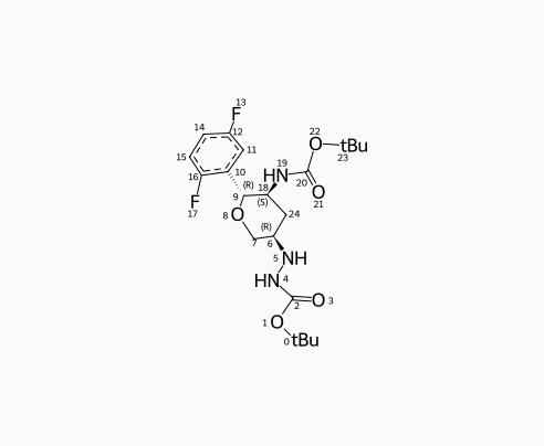 CC(C)(C)OC(=O)NN[C@H]1CO[C@H](c2cc(F)ccc2F)[C@@H](NC(=O)OC(C)(C)C)C1